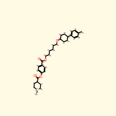 [CH2-][C+]1CCC(C(=O)Oc2ccc(C(=O)OCCCCCCOC3CCC(c4ccc(C)cc4)CC3)cc2)CC1